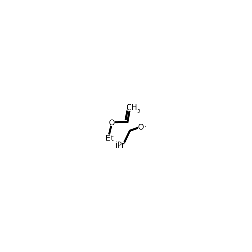 C=COCC.CC(C)C[O]